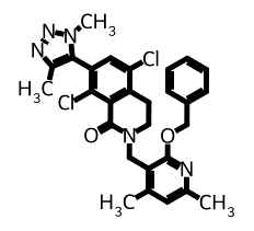 Cc1cc(C)c(CN2CCc3c(Cl)cc(-c4c(C)nnn4C)c(Cl)c3C2=O)c(OCc2ccccc2)n1